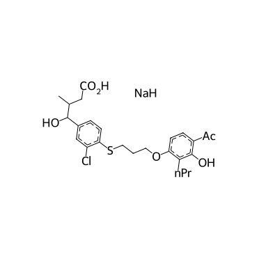 CCCc1c(OCCCSc2ccc(C(O)C(C)CC(=O)O)cc2Cl)ccc(C(C)=O)c1O.[NaH]